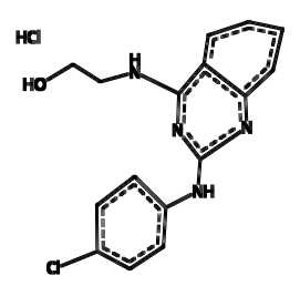 Cl.OCCNc1nc(Nc2ccc(Cl)cc2)nc2ccccc12